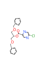 O=C(OC(COCc1ccccc1)COCc1ccccc1)c1cnc(Cl)cn1